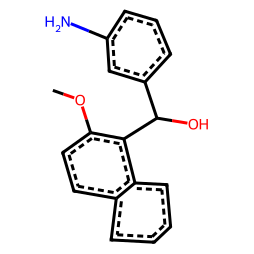 COc1ccc2ccccc2c1C(O)c1cccc(N)c1